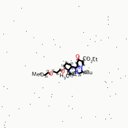 CCOC(=O)c1cn2c(cc1=O)/C(=c1\cccc(OCCCOCCOC)\c1=C(/C)CC)N(C)CC2C(C)(C)C